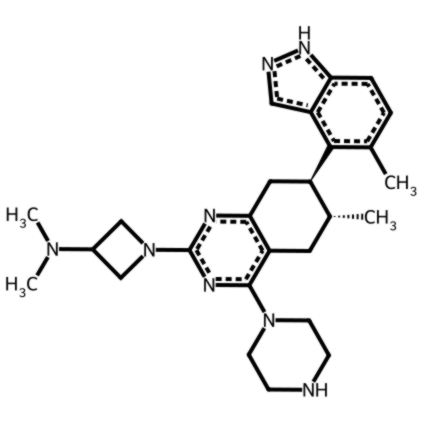 Cc1ccc2[nH]ncc2c1[C@@H]1Cc2nc(N3CC(N(C)C)C3)nc(N3CCNCC3)c2C[C@H]1C